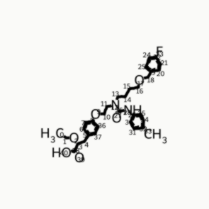 CCOC(Cc1ccc(OCCN(CCCCOCc2ccc(F)cc2)C(=O)Nc2ccc(C)cc2)cc1)C(=O)O